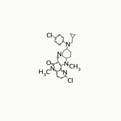 CN(c1c(C#N)c(=O)n(C)c2ccc(Cl)nc12)C1CCC(N(CC2CC2)c2ccc(Cl)cc2)CC1